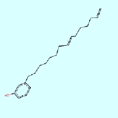 C=CCCCC/C=C/CCCCCCCc1cccc(O)c1